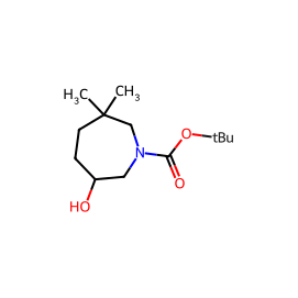 CC1(C)CCC(O)CN(C(=O)OC(C)(C)C)C1